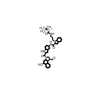 CC(C)(C)OC(=O)NCCCn1c(C(=O)Nc2ccc3[nH]c(C(=O)N4CC(CCl)c5c4cc(O)c4ccccc54)cc3c2)cc2ccccc21